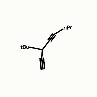 C#CC(C#CCCC)C([CH2])(C)C